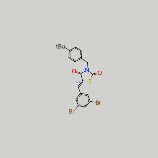 CC(C)(C)c1ccc(CN2C(=O)S/C(=C\c3cc(Br)cc(Br)c3)C2=O)cc1